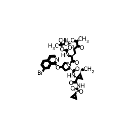 C=C[C@@H]1C[C@]1(NC(=O)[C@@H]1CC(Oc2nccc3ccc(Br)cc23)CN1C(=O)[C@H](CCC(=O)C(=C)C)NC(=O)OC(C)(C)C)C(=O)NS(=O)(=O)C1CC1